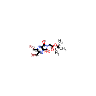 CC(C)(C)OC(=O)CN1C(=O)c2nc(CBr)c(CBr)nc2C1O